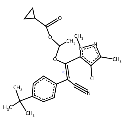 Cc1nn(C)c(/C(OC(C)OC(=O)C2CC2)=C(\C#N)c2ccc(C(C)(C)C)cc2)c1Cl